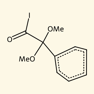 COC(OC)(C(=O)I)c1ccccc1